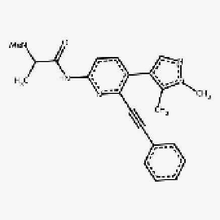 CNC(C)C(=O)Nc1ccc(-c2cnn(C)c2C)c(C#Cc2ccccc2)n1